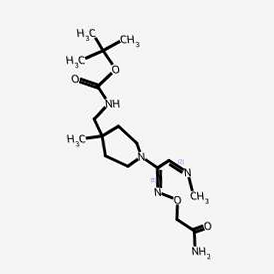 C/N=C\C(=N/OCC(N)=O)N1CCC(C)(CNC(=O)OC(C)(C)C)CC1